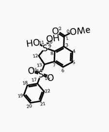 COC(=O)c1cccc2c1S(O)(O)CC2S(=O)(=O)c1ccccc1